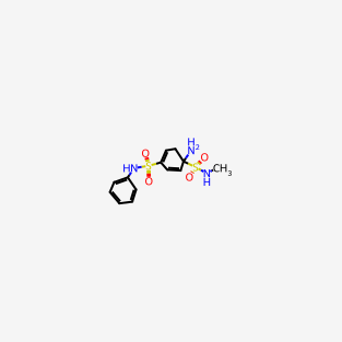 CNS(=O)(=O)C1(N)C=CC(S(=O)(=O)Nc2ccccc2)=CC1